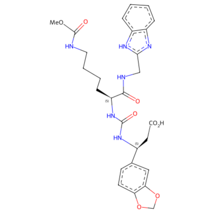 COC(=O)NCCCC[C@H](NC(=O)N[C@@H](CC(=O)O)c1ccc2c(c1)OCO2)C(=O)NCc1nc2ccccc2[nH]1